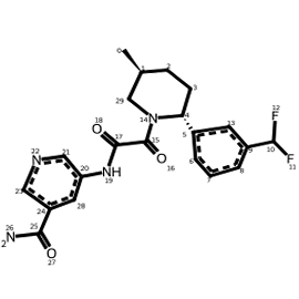 C[C@H]1CC[C@H](c2cccc(C(F)F)c2)N(C(=O)C(=O)Nc2cncc(C(N)=O)c2)C1